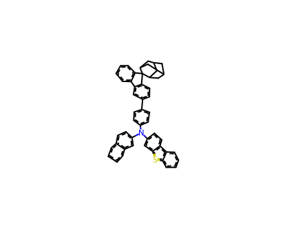 c1ccc2c(c1)-c1cc(-c3ccc(N(c4ccc5ccccc5c4)c4ccc5c(c4)sc4ccccc45)cc3)ccc1C21C2CC3CC(C2)CC1C3